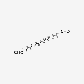 O=CCCCCCCCCCCCCCCCCCCC=O